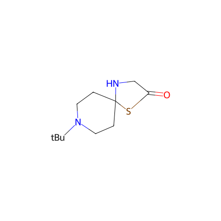 CC(C)(C)N1CCC2(CC1)NCC(=O)S2